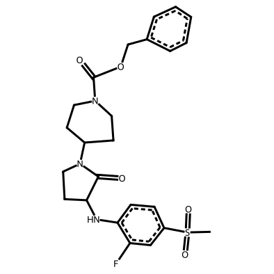 CS(=O)(=O)c1ccc(NC2CCN(C3CCN(C(=O)OCc4ccccc4)CC3)C2=O)c(F)c1